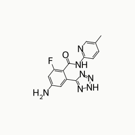 Cc1ccc(NC(=O)c2c(F)cc(N)cc2-c2nn[nH]n2)nc1